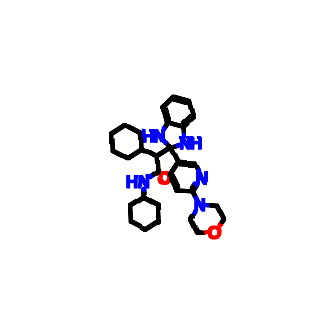 O=C(NC1CCCCC1)C(C1CCCCC1)C1(c2ccc(N3CCOCC3)nc2)Nc2ccccc2N1